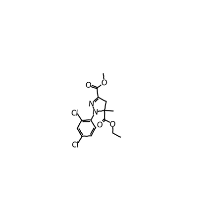 CCOC(=O)C1(C)CC(C(=O)OC)=NN1c1ccc(Cl)cc1Cl